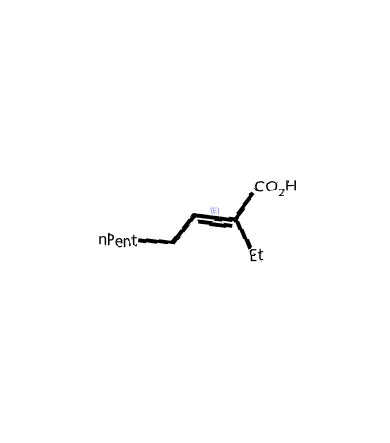 CCCCCC/C=C(\CC)C(=O)O